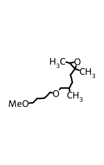 COCCCCOCC(C)CCC1(C)OC1C